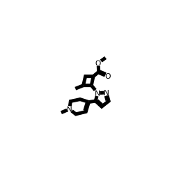 COC(=O)C1CC(C)C1n1nccc1C1=CCN(C)CC1